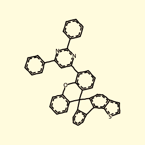 c1ccc(-c2cc(-c3cccc4c3Oc3ccccc3C43c4ccccc4-c4c3ccc3ccsc43)nc(-c3ccccc3)n2)cc1